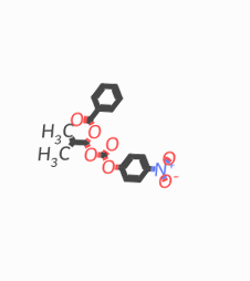 CC(C)C(OC(=O)Oc1ccc([N+](=O)[O-])cc1)OC(=O)c1ccccc1